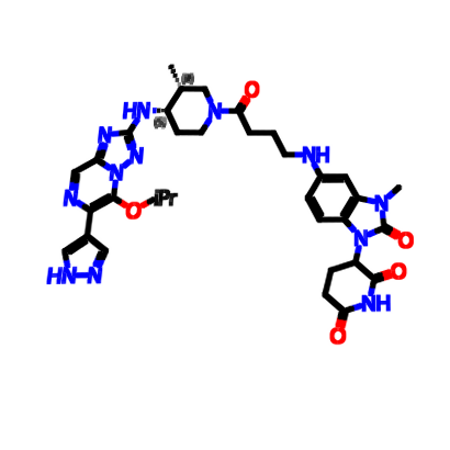 CC(C)Oc1c(-c2cn[nH]c2)ncc2nc(N[C@H]3CCN(C(=O)CCCNc4ccc5c(c4)n(C)c(=O)n5C4CCC(=O)NC4=O)C[C@H]3C)nn12